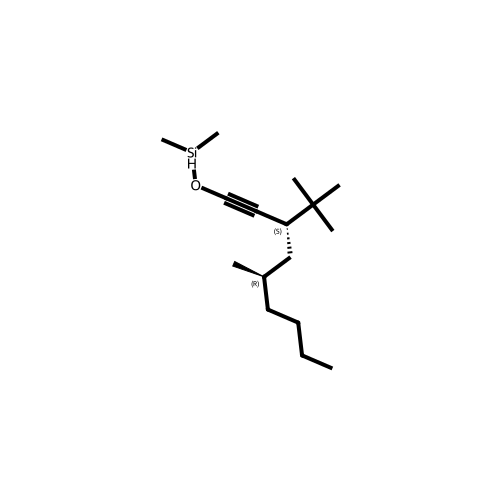 CCCC[C@@H](C)C[C@H](C#CO[SiH](C)C)C(C)(C)C